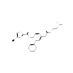 CN(C)CCNC(=O)CC(/C=C\CNC(=O)c1nc(C#N)c[nH]1)=C/CC1=CCCCC1